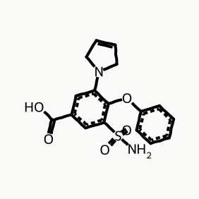 NS(=O)(=O)c1cc(C(=O)O)cc(N2CC=CC2)c1Oc1ccccc1